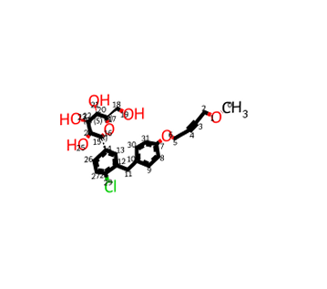 COCC#CCOc1ccc(Cc2cc([C@H]3O[C@H](CO)[C@@H](O)[C@H](O)C3O)ccc2Cl)cc1